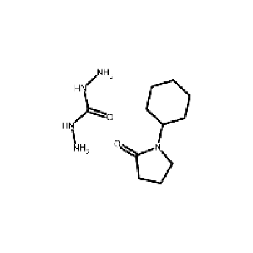 NNC(=O)NN.O=C1CCCN1C1CCCCC1